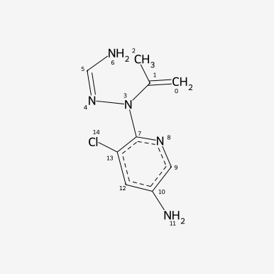 C=C(C)N(/N=C\N)c1ncc(N)cc1Cl